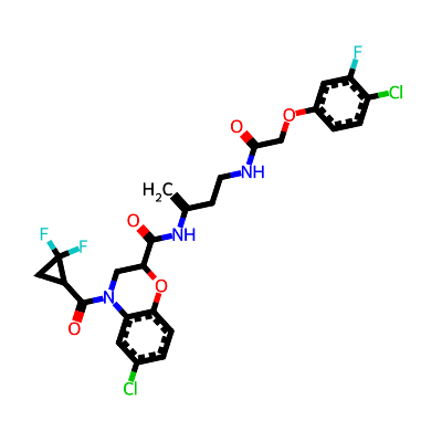 C=C(CCNC(=O)COc1ccc(Cl)c(F)c1)NC(=O)C1CN(C(=O)C2CC2(F)F)c2cc(Cl)ccc2O1